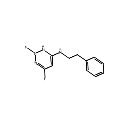 FC1=NN(F)NC(NCCc2ccccc2)=C1